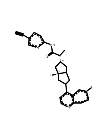 C#Cc1ccc(NC(=O)C(C)[C@@H]2CC3CC(c4ccnc5ccc(F)cc45)C[C@@H]3C2)nc1